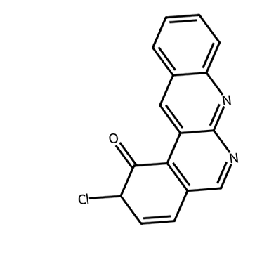 O=C1c2c(cnc3nc4ccccc4cc23)C=CC1Cl